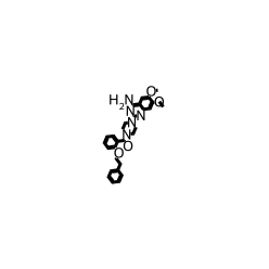 COc1cc2nc(N3CCN(C(=O)c4ccccc4OCCc4ccccc4)CC3)nc(N)c2cc1OC